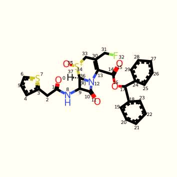 O=C(Cc1cccs1)NC1C(=O)N2C(C(=O)OC(c3ccccc3)c3ccccc3)=C(CF)C[S+]([O-])[C@H]12